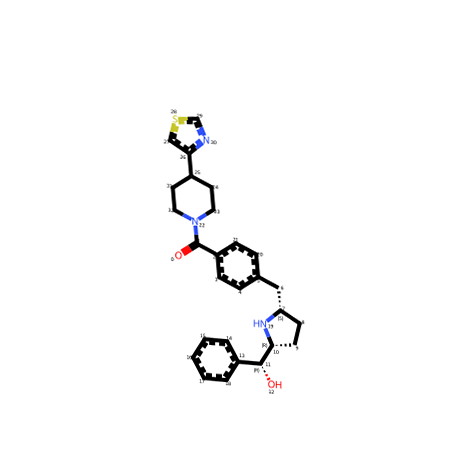 O=C(c1ccc(C[C@@H]2CC[C@H]([C@H](O)c3ccccc3)N2)cc1)N1CCC(c2cscn2)CC1